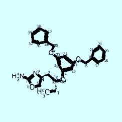 CC[C@H](C[C@H]1COC(N)=N1)Oc1cc(OCc2ccccc2)cc(OCc2ccccc2)c1